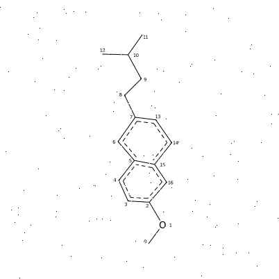 COc1ccc2cc(CCC(C)C)ccc2c1